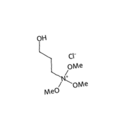 CO[N+](CCCO)(OC)OC.[Cl-]